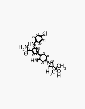 CC(C)(O)C1CN([C@H]2CCC(n3cc(C(N)=O)c(Nc4ccc(Cl)cc4)n3)C(=N)C2)C1